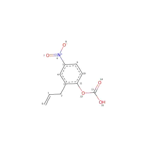 C=CCc1cc([N+](=O)[O-])ccc1OC(=O)O